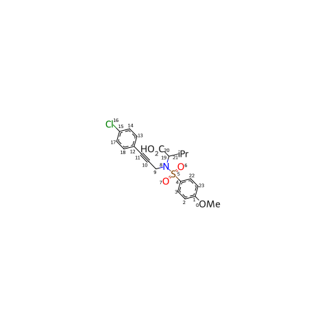 COc1ccc(S(=O)(=O)N(CC#Cc2ccc(Cl)cc2)C(C(=O)O)C(C)C)cc1